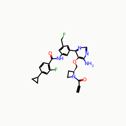 C#CC(=O)N1CC[C@H]1COc1c(N)ncnc1-c1cc(CF)cc(NC(=O)c2ccc(C3CC3)cc2F)c1